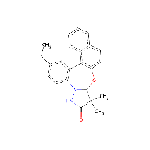 CCc1ccc2c(c1)-c1c(ccc3ccccc13)OC1N2NC(=O)C1(C)C